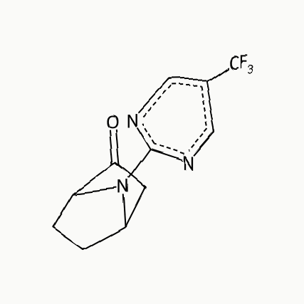 O=C1CC2CCC1N2c1ncc(C(F)(F)F)cn1